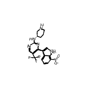 O=[N+]([O-])c1cccc2c(-c3nc(N[C@H]4CCCNC4)ncc3C(F)(F)F)c[nH]c12